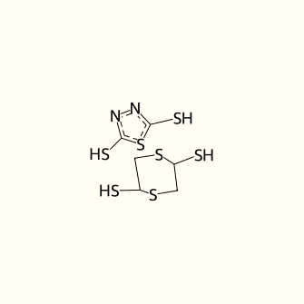 SC1CSC(S)CS1.Sc1nnc(S)s1